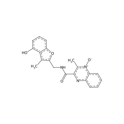 Cc1c(CNC(=O)c2nc3ccccc3[n+]([O-])c2C)oc2cccc(O)c12